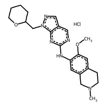 COc1cc2c(cc1Nc1ncc3cnn(CC4CCCCO4)c3n1)CN(C)CC2.Cl